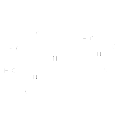 CN1CN(CC[N+](C)(C)C)C(=O)C1(C)C